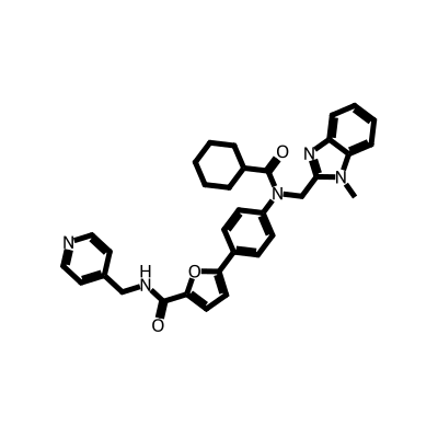 Cn1c(CN(C(=O)C2CCCCC2)c2ccc(-c3ccc(C(=O)NCc4ccncc4)o3)cc2)nc2ccccc21